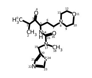 CC(C)C(=O)C(CCN1CCOCC1)NC(=O)N(C)Cc1cncs1